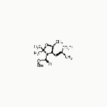 CCOC(=O)/C(C)=C\C1C(C)OC(C)(C)N1C(=O)OC(C)(C)C